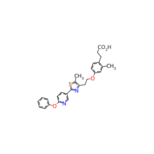 Cc1cc(OCCc2nc(-c3ccc(Oc4ccccc4)nc3)sc2C)ccc1CCC(=O)O